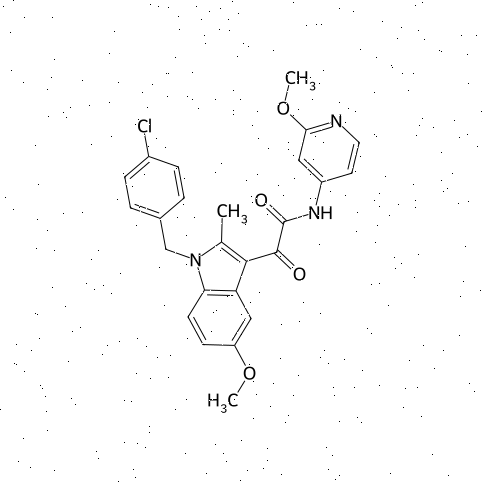 COc1ccc2c(c1)c(C(=O)C(=O)Nc1ccnc(OC)c1)c(C)n2Cc1ccc(Cl)cc1